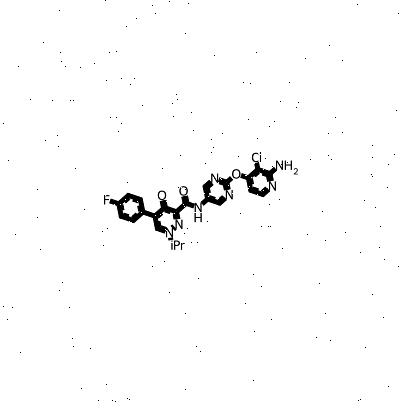 CC(C)n1cc(-c2ccc(F)cc2)c(=O)c(C(=O)Nc2cnc(Oc3ccnc(N)c3Cl)nc2)n1